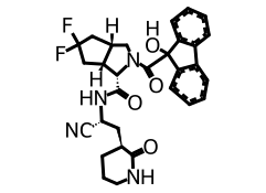 N#C[C@@H](C[C@@H]1CCCNC1=O)NC(=O)[C@@H]1[C@@H]2CC(F)(F)C[C@@H]2CN1C(=O)C1(O)c2ccccc2-c2ccccc21